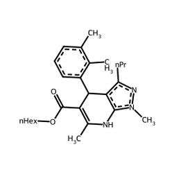 CCCCCCOC(=O)C1=C(C)Nc2c(c(CCC)nn2C)C1c1cccc(C)c1C